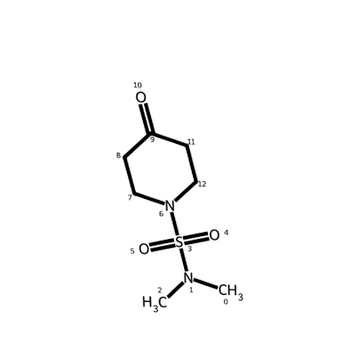 CN(C)S(=O)(=O)N1CCC(=O)CC1